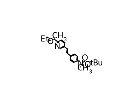 CCOC(C)c1ccc(/C=C/c2ccc(N(C)C(=O)OC(C)(C)C)cc2)cn1